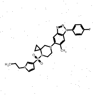 CCCn1ccc(S(=O)(=O)N2CCN(c3cc4nnn(-c5ccc(F)cc5)c4cc3C)CC23CC3)c1